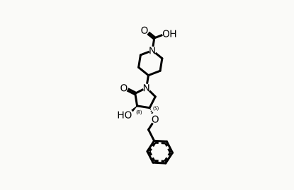 O=C(O)N1CCC(N2C[C@H](OCc3ccccc3)[C@@H](O)C2=O)CC1